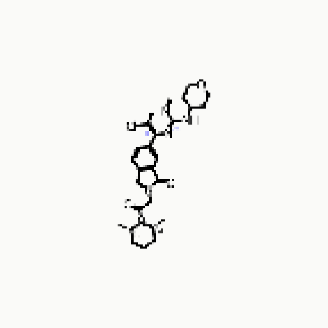 C=N/C(=N\C(=C(/C)Cl)c1ccc2c(c1)C(=O)N(CC(=O)N1[C@H](C)CCC[C@@H]1C)C2)NC1CCOCC1